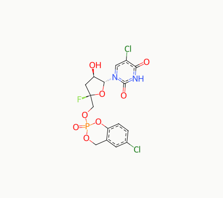 O=c1[nH]c(=O)n([C@@H]2O[C@](F)(COP3(=O)OCc4cc(Cl)ccc4O3)C[C@H]2O)cc1Cl